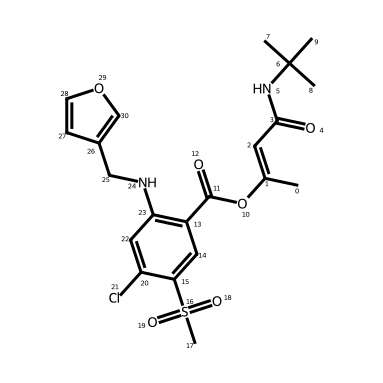 CC(=CC(=O)NC(C)(C)C)OC(=O)c1cc(S(C)(=O)=O)c(Cl)cc1NCc1ccoc1